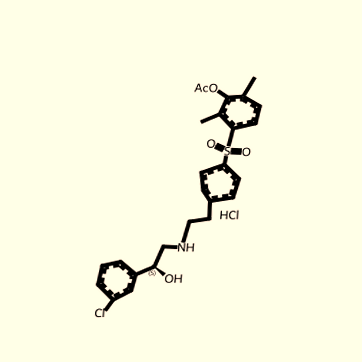 CC(=O)Oc1c(C)ccc(S(=O)(=O)c2ccc(CCNC[C@@H](O)c3cccc(Cl)c3)cc2)c1C.Cl